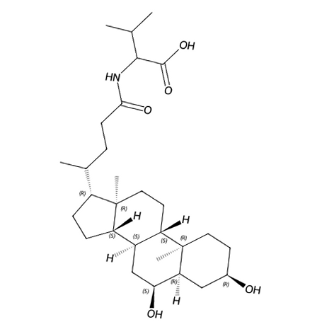 CC(C)C(NC(=O)CCC(C)[C@H]1CC[C@H]2[C@@H]3C[C@H](O)[C@@H]4C[C@H](O)CC[C@]4(C)[C@H]3CC[C@]12C)C(=O)O